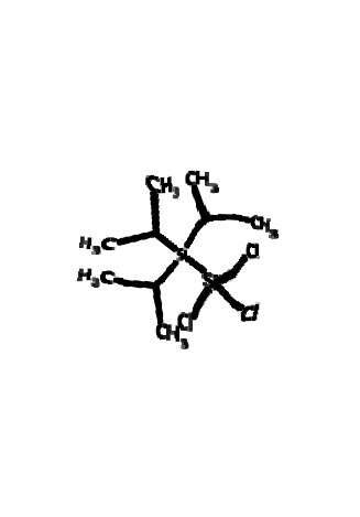 CC(C)[Si](C(C)C)(C(C)C)[Si](Cl)(Cl)Cl